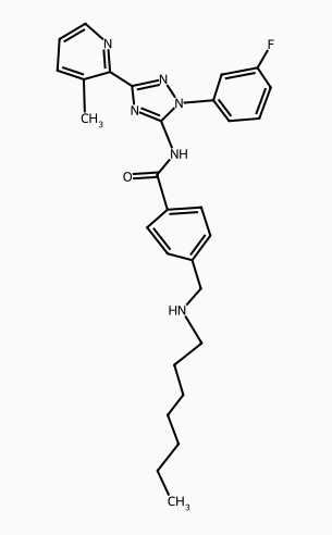 CCCCCCCNCc1ccc(C(=O)Nc2nc(-c3ncccc3C)nn2-c2cccc(F)c2)cc1